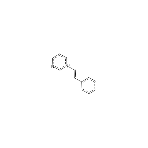 C(=C[n+]1cccnc1)c1ccccc1